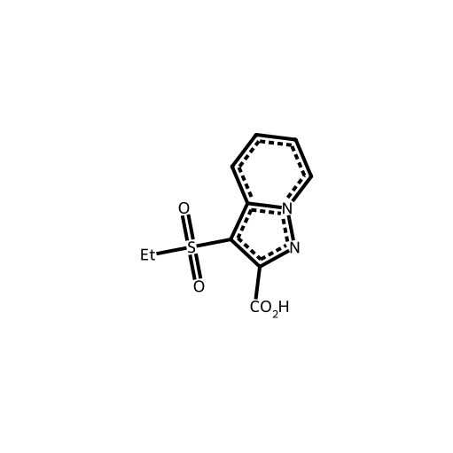 CCS(=O)(=O)c1c(C(=O)O)nn2ccccc12